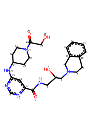 O=C(NCC(O)CN1CCc2ccccc2C1)c1cc(NC2CCN(C(=O)CO)CC2)ncn1